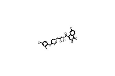 Cc1cc(Cl)ccc1OC1CCN(C[C@H](O)CNC(=O)c2c[nH]c(=O)c3ccc(F)cc23)CC1